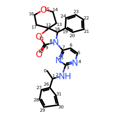 CC(Nc1nccc(N2C(=O)OC3(CCOCC3)C2c2ccccc2)n1)c1ccccc1